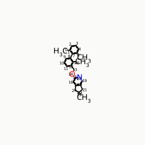 Cc1cccc(C)c1-c1cccc(COc2cc3c(cn2)C[C@@H](C)C3)c1C